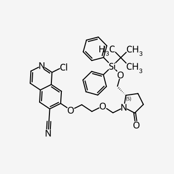 CC(C)(C)[Si](OC[C@@H]1CCC(=O)N1COCCOc1cc2c(Cl)nccc2cc1C#N)(c1ccccc1)c1ccccc1